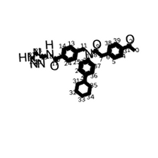 CC(=O)c1ccc(CC(=O)N(Cc2ccc(C(=O)Nc3nn[nH]n3)cc2)c2ccc(C3CCCCC3)cc2)cc1